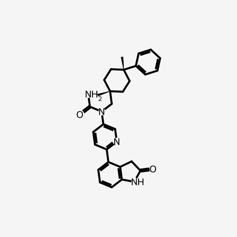 C[C@]1(CN(C(N)=O)c2ccc(-c3cccc4c3CC(=O)N4)nc2)CC[C@@](C)(c2ccccc2)CC1